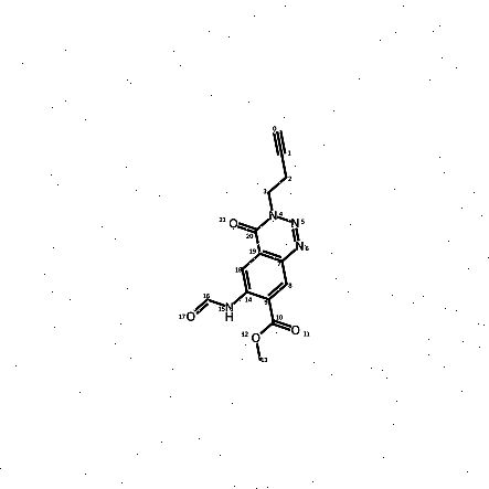 C#CCCn1nnc2cc(C(=O)OC)c(NC=O)cc2c1=O